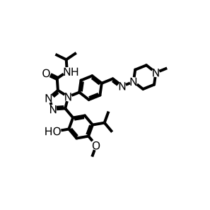 COc1cc(O)c(-c2nnc(C(=O)NC(C)C)n2-c2ccc(C=NN3CCN(C)CC3)cc2)cc1C(C)C